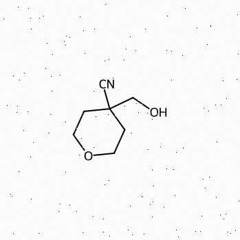 N#CC1(CO)CCOCC1